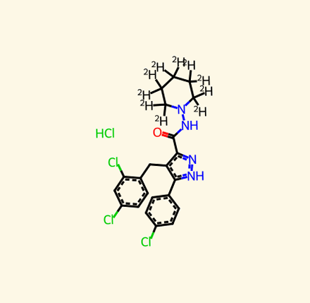 Cl.[2H]C1([2H])N(NC(=O)c2n[nH]c(-c3ccc(Cl)cc3)c2Cc2ccc(Cl)cc2Cl)C([2H])([2H])C([2H])([2H])C([2H])([2H])C1([2H])[2H]